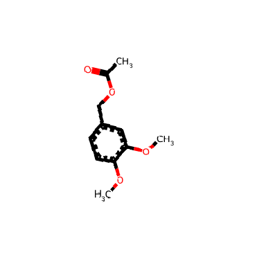 COc1ccc(COC(C)=O)cc1OC